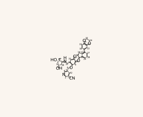 N#Cc1cncc(COc2cc(O[C@H]3CCc4c(-c5ccc6c(c5)OCCO6)cccc43)c(Cl)cc2CN[C@@H](CCO)C(=O)O)c1